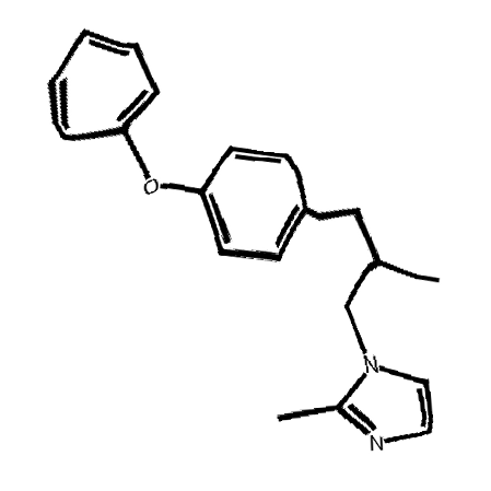 Cc1nccn1CC(C)Cc1ccc(Oc2ccccc2)cc1